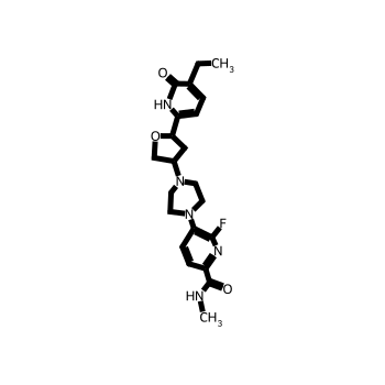 CCc1ccc(C2CC(N3CCN(c4ccc(C(=O)NC)nc4F)CC3)CO2)[nH]c1=O